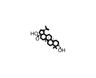 C=C(C)[C@@H]1CC[C@]2(C(=O)O)CC[C@]3(C)C(CCC4[C@@]5(C)CC[C@H](CO)C(C)(C)C5CC[C@]43C)C12